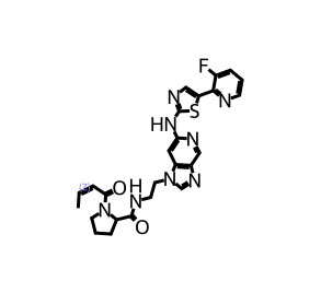 C/C=C\C(=O)N1CCCC1C(=O)NCCn1cnc2cnc(Nc3ncc(-c4ncccc4F)s3)cc21